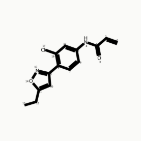 C=CC(=O)Nc1ccc(-c2cc(CC)on2)c(Cl)c1